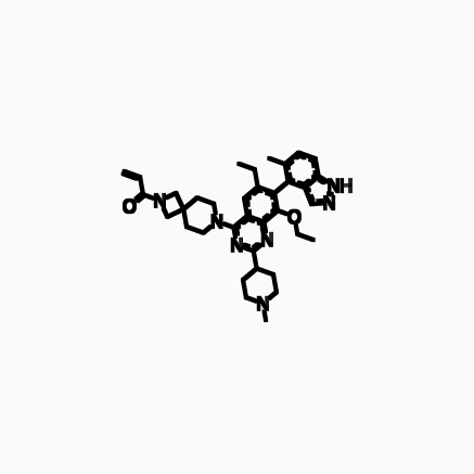 C=CC(=O)N1CC2(CCN(c3nc(C4CCN(C)CC4)nc4c(OCC)c(-c5c(C)ccc6[nH]ncc56)c(CC)cc34)CC2)C1